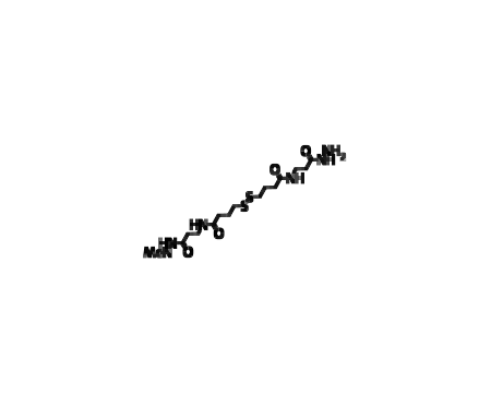 CNNC(=O)CCNC(=O)CCCSSCCCC(=O)NCCC(=O)NN